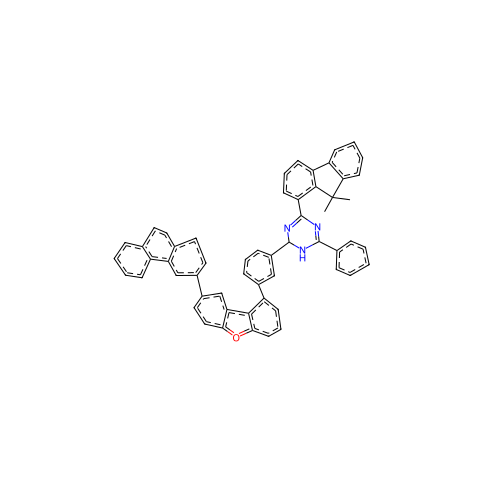 CC1(C)c2ccccc2-c2cccc(C3=NC(c4cccc(-c5cccc6oc7ccc(-c8ccc9ccc%10ccccc%10c9c8)cc7c56)c4)NC(c4ccccc4)=N3)c21